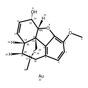 COc1ccc2c3c1O[C@H]1[C@@H](O)C=C[C@H]4[C@@H](C2)N(C)CC[C@@]341.[Au]